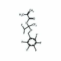 C=C(C)C(=O)OC(OCc1c(F)c(F)c(F)c(F)c1F)(C(F)F)C(F)(F)F